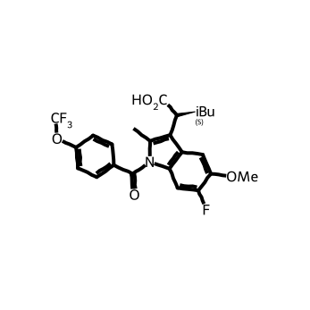 CC[C@H](C)C(C(=O)O)c1c(C)n(C(=O)c2ccc(OC(F)(F)F)cc2)c2cc(F)c(OC)cc12